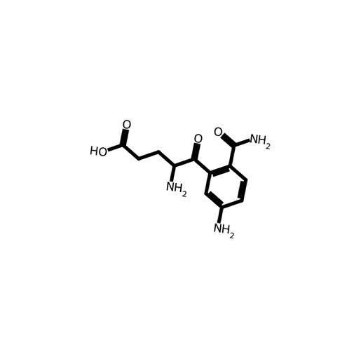 NC(=O)c1ccc(N)cc1C(=O)C(N)CCC(=O)O